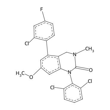 COc1cc(-c2ccc(F)cc2Cl)c2c(c1)N(c1c(Cl)cccc1Cl)C(=O)N(C)C2